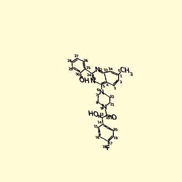 Cc1ccc2c(N3CCN(C(=O)C(O)c4ccc(F)cc4)CC3)nc(-c3ccccc3O)nc2c1